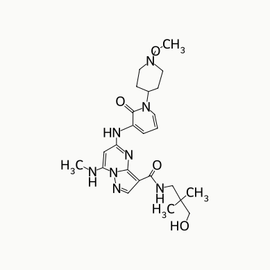 CNc1cc(Nc2cccn(C3CCN(OC)CC3)c2=O)nc2c(C(=O)NCC(C)(C)CO)cnn12